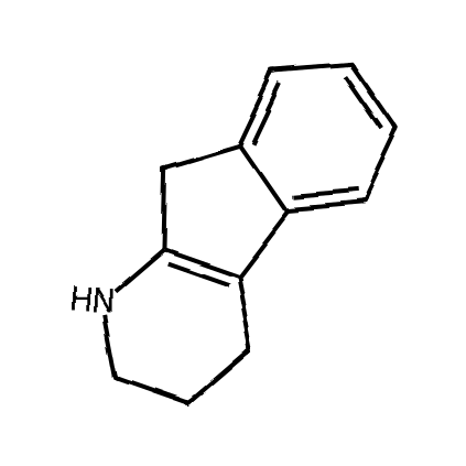 c1ccc2c(c1)CC1=C2CCCN1